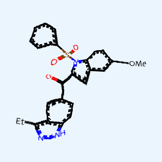 CCc1n[nH]c2ccc(C(=O)c3cc4cc(OC)ccc4n3S(=O)(=O)c3ccccc3)cc12